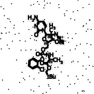 C[C@H](NP(=O)(OC[C@H]1OC(n2ccc(N)nc2=O)[C@](C)(N=[N+]=[N-])[C@@H]1O)Oc1ccccc1Cl)C(=O)OCC(C)(C)C